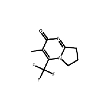 Cc1c(C(F)(F)F)n2c(nc1=O)CCC2